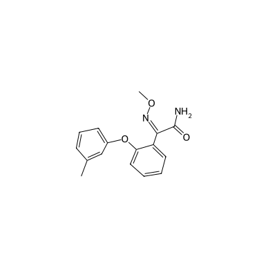 CON=C(C(N)=O)c1ccccc1Oc1cccc(C)c1